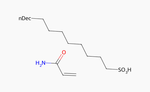 C=CC(N)=O.CCCCCCCCCCCCCCCCCCS(=O)(=O)O